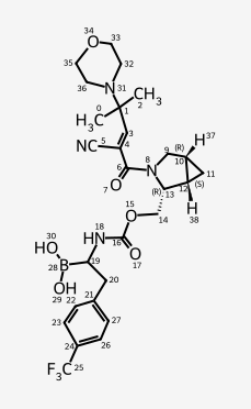 CC(C)(C=C(C#N)C(=O)N1C[C@@H]2C[C@@H]2[C@@H]1COC(=O)NC(Cc1ccc(C(F)(F)F)cc1)B(O)O)N1CCOCC1